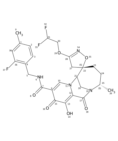 Cc1ccc(CNC(=O)c2cn3c(c(O)c2=O)C(=O)N2CC3[C@]3(CC[C@@H]2C)CC(OCC(F)F)=NO3)c(F)c1